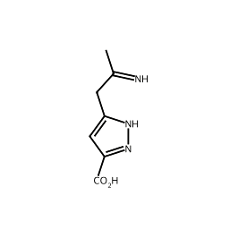 CC(=N)Cc1cc(C(=O)O)n[nH]1